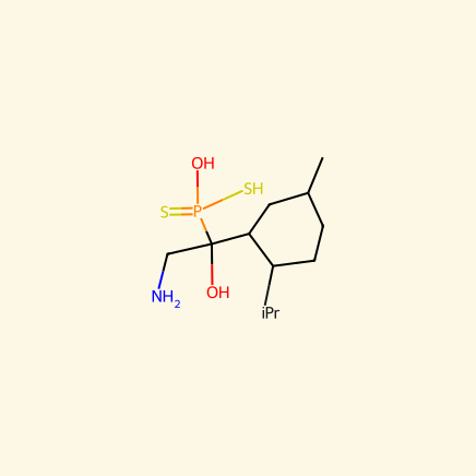 CC1CCC(C(C)C)C(C(O)(CN)P(O)(=S)S)C1